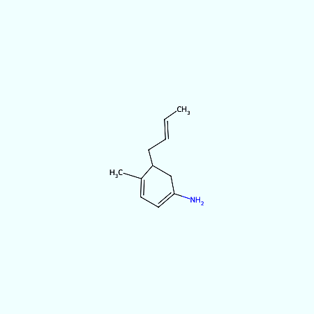 CC=CCC1CC(N)=CC=C1C